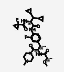 CO[C@@H](C)C(=O)N[C@@H](C(=O)N1CCN(C)CC1)[C@@H](C)c1ccc(NC(=O)[C@@H](NC(=O)C2(F)CC2)C(C2CC2)C2CC2)c(F)c1